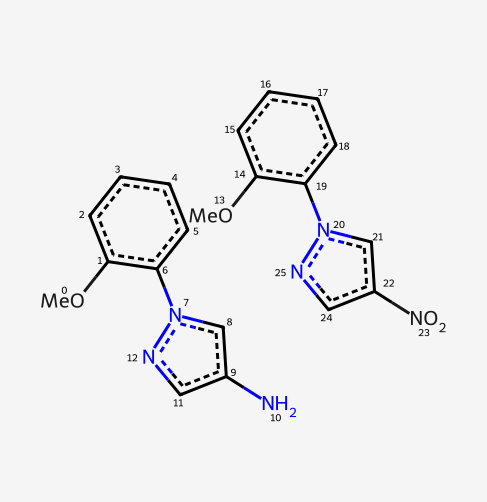 COc1ccccc1-n1cc(N)cn1.COc1ccccc1-n1cc([N+](=O)[O-])cn1